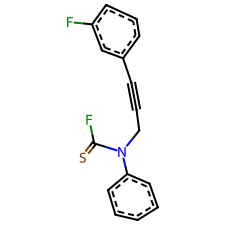 FC(=S)N(CC#Cc1cccc(F)c1)c1ccccc1